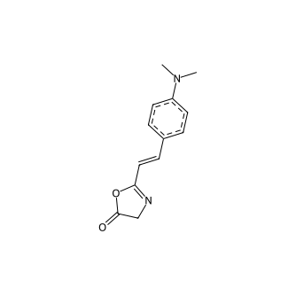 CN(C)c1ccc(C=CC2=NCC(=O)O2)cc1